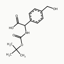 CC(C)(C)OC(=O)NC(C(=O)O)c1ccc(CO)cc1